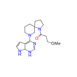 COCCC(=O)N1CCCC12CCCN(C1=C3C=CNC3NC=N1)C2